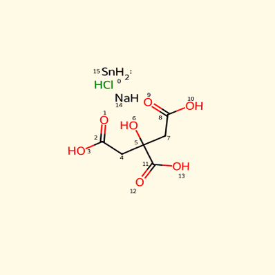 Cl.O=C(O)CC(O)(CC(=O)O)C(=O)O.[NaH].[SnH2]